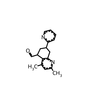 Cc1cc(C)c2c(n1)CC(c1ccccn1)CC2C=O